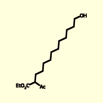 CCOC(=O)C(CCCCCCCCCCCO)C(C)=O